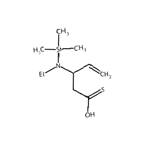 C=CC(CC(O)=S)N(CC)[Si](C)(C)C